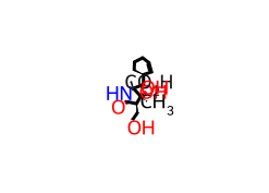 C[C@]1(O)[C@@H](CCO)C(=O)N[C@]1(C(=O)O)[C@H](O)[C@@H]1C=CCCC1